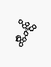 c1ccc(-c2ccc(N(c3ccc(-c4ccc5c(c4)C4(c6ccccc6-5)C5CC6CC(C5)CC4C6)cc3)c3ccc4ccccc4c3)c3ccccc23)cc1